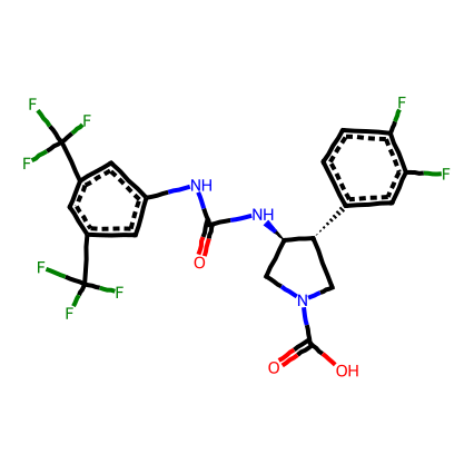 O=C(Nc1cc(C(F)(F)F)cc(C(F)(F)F)c1)N[C@@H]1CN(C(=O)O)C[C@H]1c1ccc(F)c(F)c1